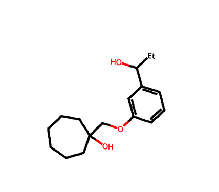 CCC(O)c1cccc(OCC2(O)CCCCCC2)c1